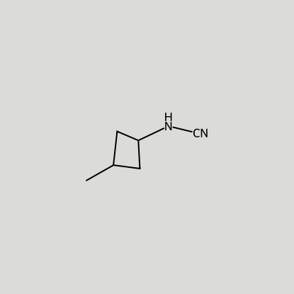 CC1CC(NC#N)C1